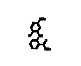 CNC(=O)c1ccccc1Nc1nc(NC)ncc1Br